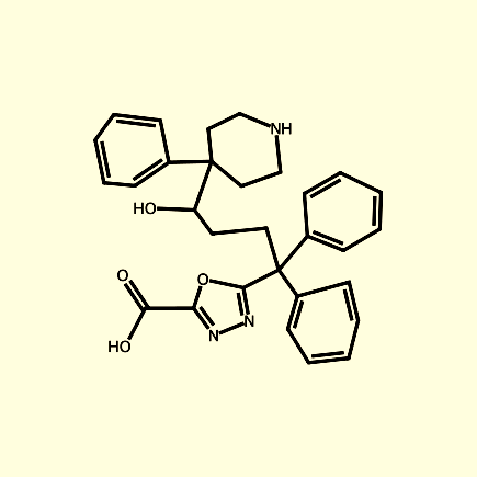 O=C(O)c1nnc(C(CCC(O)C2(c3ccccc3)CCNCC2)(c2ccccc2)c2ccccc2)o1